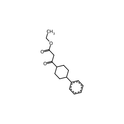 CCOC(=O)CC(=O)C1CCC(c2ccccc2)CC1